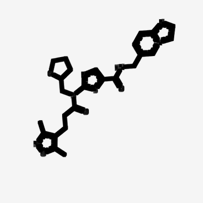 Cc1noc(C)c1CCC(=O)N(CC1CCCO1)c1ncc(C(=O)NCc2ccc3nccn3c2)s1